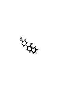 FC(F)(F)OC1CCN(c2cnc3ccc(Cl)cc3c2Br)CC1